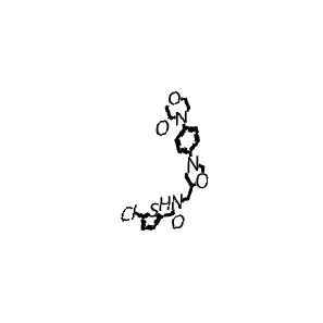 O=C(NCC1CN(c2ccc(N3CCOCC3=O)cc2)CO1)c1ccc(Cl)s1